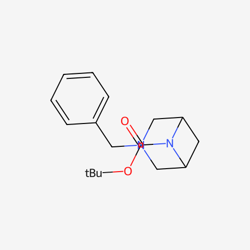 CC(C)(C)OC(=O)N1C2CC1CN(Cc1ccccc1)C2